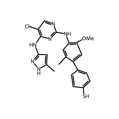 COc1cc(-c2ccc(S)cc2)c(C)cc1Nc1ncc(Cl)c(Nc2cc(C)[nH]n2)n1